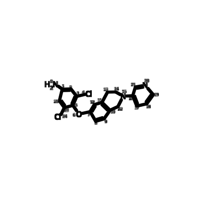 Nc1cc(Cl)c(Oc2ccc3c(c2)CCN(c2cccnc2)C3)c(Cl)c1